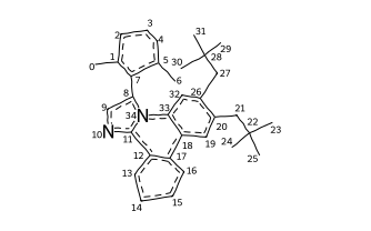 Cc1cccc(C)c1-c1cnc2c3ccccc3c3cc(CC(C)(C)C)c(CC(C)(C)C)cc3n12